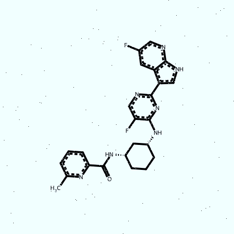 Cc1cccc(C(=O)N[C@H]2CCC[C@@H](Nc3nc(-c4c[nH]c5ncc(F)cc45)ncc3F)C2)n1